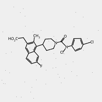 Cc1c(CC(=O)O)cc2ccc(F)cc2c1C1CCN(C(=O)N(Cl)c2ccc(Cl)cc2)CC1